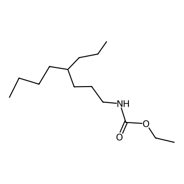 CCCCC(CCC)CCCNC(=O)OCC